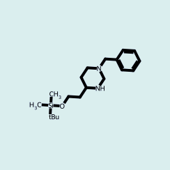 CC(C)(C)[Si](C)(C)OCCC1CCN(Cc2ccccc2)CN1